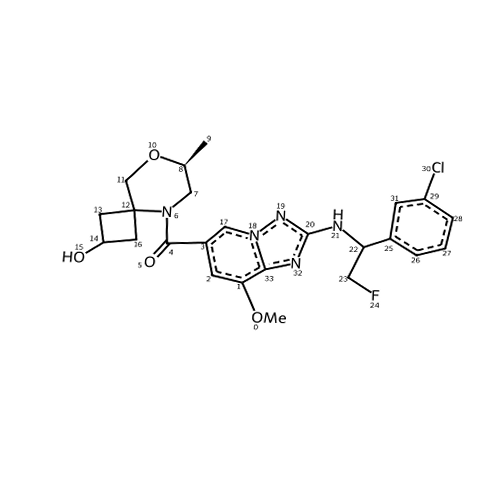 COc1cc(C(=O)N2C[C@H](C)OCC23CC(O)C3)cn2nc(NC(CF)c3cccc(Cl)c3)nc12